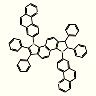 c1ccc(-c2c(-c3ccccc3)n(-c3cnc4c(ccc5cccnc54)c3)c3c2ccc2c4c(ccc23)C(c2ccccc2)C(c2ccccc2)N4c2cnc3c(ccc4cccnc43)c2)cc1